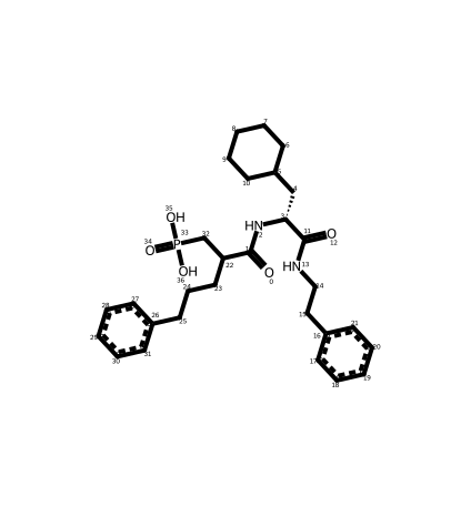 O=C(N[C@H](CC1CCCCC1)C(=O)NCCc1ccccc1)C(CCCc1ccccc1)CP(=O)(O)O